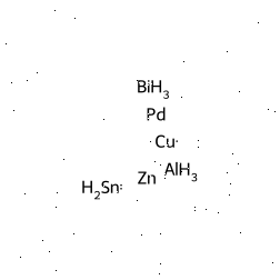 [AlH3].[BiH3].[Cu].[Pd].[SnH2].[Zn]